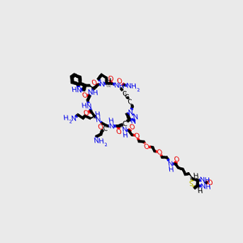 NCCCC[C@@H]1NC(=O)[C@H](CCCCN)NC(=O)[C@@H](NC(=O)COCCOCCOCCNC(=O)CCCC[C@@H]2SC[C@@H]3NC(=O)N[C@@H]32)Cc2cn(nn2)CCCC[C@@H](C(N)=O)NC(=O)[C@@H]2CCCN2C(=O)[C@H](Cc2c[nH]c3ccccc23)NC(=O)CNC1=O